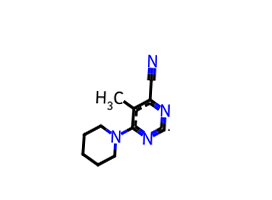 Cc1c(C#N)n[c]nc1N1CCCCC1